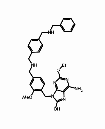 CCOc1nc(N)c2nc(O)n(Cc3ccc(CNCc4ccc(CNCc5ccccc5)cc4)cc3OC)c2n1